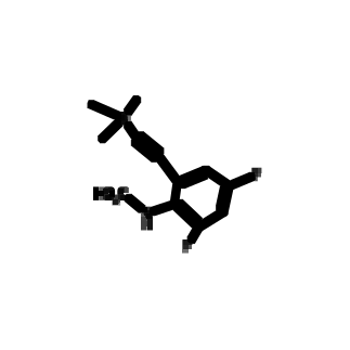 C[Si](C)(C)C#Cc1cc(F)cc(F)c1NC(=O)O